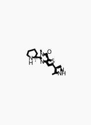 Cc1[nH]ncc1-c1cc2nc([C@]3(C)CCCCN3)n(C)c(=O)c2s1